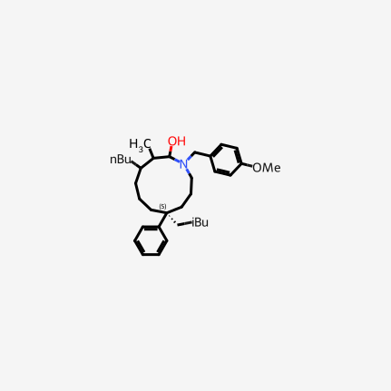 CCCCC1CCC[C@](CC(C)CC)(c2ccccc2)CCCN(Cc2ccc(OC)cc2)C(O)C1C